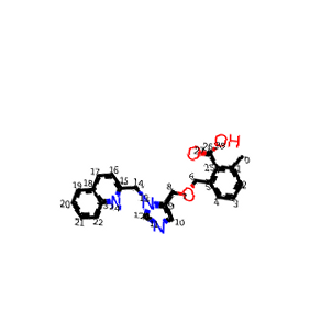 Cc1cccc(COCc2cncn2Cc2ccc3ccccc3n2)c1C(=O)O